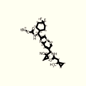 CC1(CC(=O)N[C@@H](c2cnn3cc([C@@H](NC(=O)OC(C)(C)C)C4CCC(F)(F)CC4)nc3c2)C2(C#N)CC2)CC1